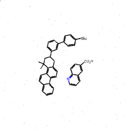 CC(C)(C)c1ccc(-c2cccc(C3Cc4ccc5c(ccc6ccccc65)c4C(C)(C)C3)c2)cc1.O=C(O)c1ccc2ncccc2c1